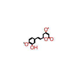 COC1=CC(=O)OC(/C=C/c2ccc(OC)c(O)c2)C1